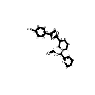 O=COC(c1ccccc1)N1CCCC(c2nc(-c3ccc(F)cc3)co2)C1